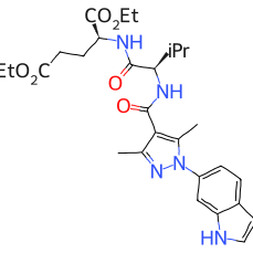 CCOC(=O)CC[C@H](NC(=O)[C@H](NC(=O)c1c(C)nn(-c2ccc3cc[nH]c3c2)c1C)C(C)C)C(=O)OCC